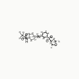 C[C@@H]1CN(S(=O)(=O)c2cccc(NC[C@H]3CC[C@H](NS(=O)(=O)C(C)(C)C)CC3)c2)C[C@H](C)O1